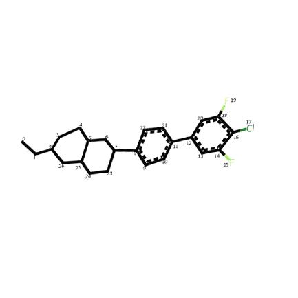 CCC1CCC2CC(c3ccc(-c4cc(F)c(Cl)c(F)c4)cc3)CCC2C1